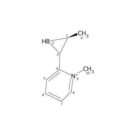 C[C@@H]1BC1c1cccc[n+]1C